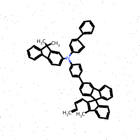 C=C/C=C\C1=C(C)c2ccccc2C12c1ccccc1-c1cc(-c3ccc(N(c4ccc(-c5ccccc5)cc4)c4ccc5c(c4)C(C)(C)c4ccccc4-5)cc3)ccc12